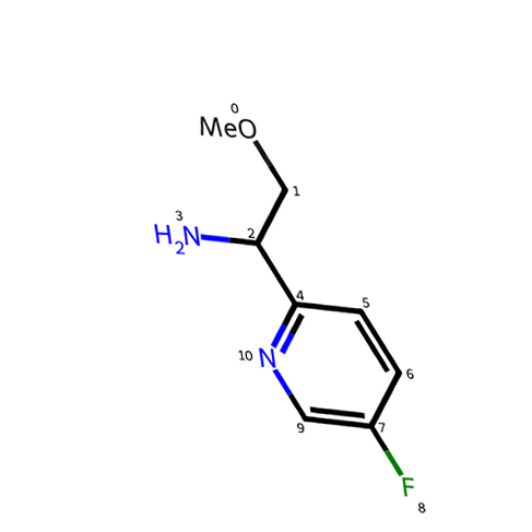 COCC(N)c1ccc(F)cn1